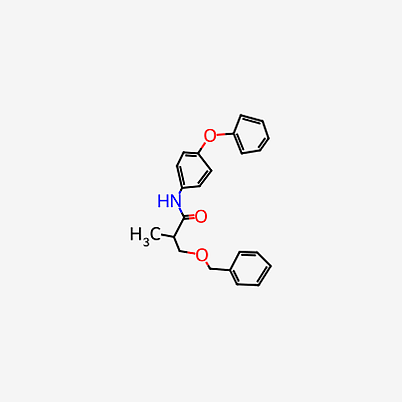 CC(COCc1ccccc1)C(=O)Nc1ccc(Oc2ccccc2)cc1